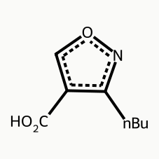 CCCCc1nocc1C(=O)O